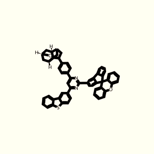 c1ccc2c(c1)Oc1ccccc1C21c2ccccc2-c2cc(-c3nc(-c4ccc(C56CC7C[C@@H]8C[C@@H](C[C@@H]7C85)C6)cc4)cc(-c4ccc5sc6ccccc6c5c4)n3)ccc21